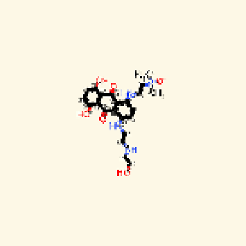 C[N+](C)([O-])CCNc1ccc(NCCNCCO)c2c1C(=O)c1c(O)ccc(O)c1C2=O